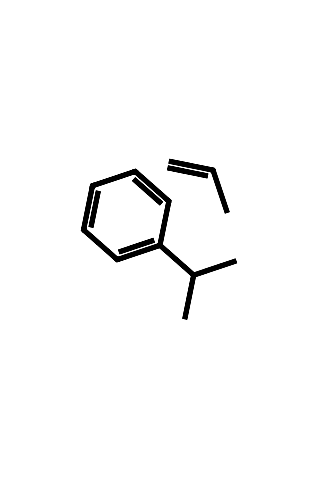 C=CC.CC(C)c1ccccc1